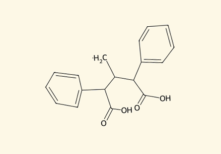 [CH2]C(C(C(=O)O)c1ccccc1)C(C(=O)O)c1ccccc1